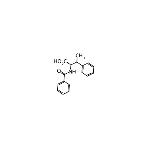 CC(c1ccccc1)[C@@H](NC(=O)c1ccccc1)C(=O)O